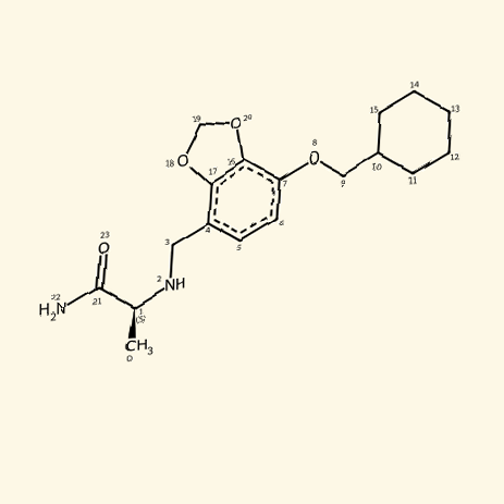 C[C@H](NCc1ccc(OCC2CCCCC2)c2c1OCO2)C(N)=O